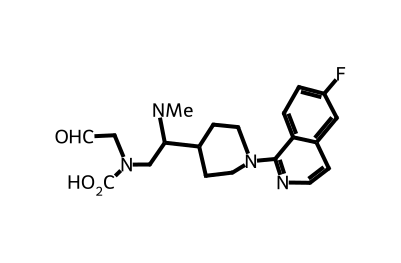 CNC(CN(CC=O)C(=O)O)C1CCN(c2nccc3cc(F)ccc23)CC1